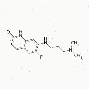 CN(C)CCCNc1cc2[nH]c(=O)ccc2cc1F